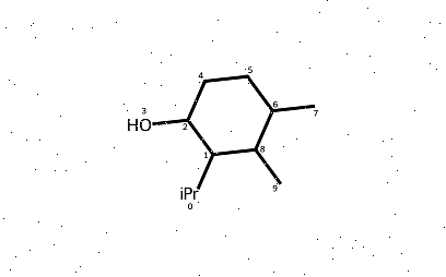 CC(C)C1C(O)CCC(C)C1C